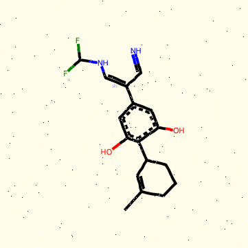 CC1=CC(c2c(O)cc(/C(C=N)=C/NC(F)F)cc2O)CCC1